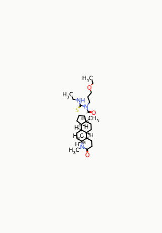 CCNC(=S)N(CCCOCC)C(=O)[C@H]1CC[C@H]2[C@@H]3CC[C@H]4N(C)C(=O)CC[C@]4(C)[C@H]3CC[C@]12C